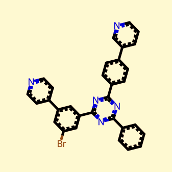 Brc1cc(-c2ccncc2)cc(-c2nc(-c3ccccc3)nc(-c3ccc(-c4cccnc4)cc3)n2)c1